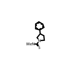 CNC(=S)N1CCC(c2ccccc2)C1